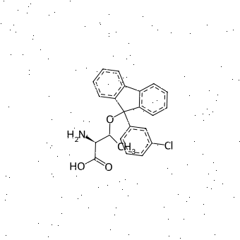 CC(OC1(c2cccc(Cl)c2)c2ccccc2-c2ccccc21)[C@H](N)C(=O)O